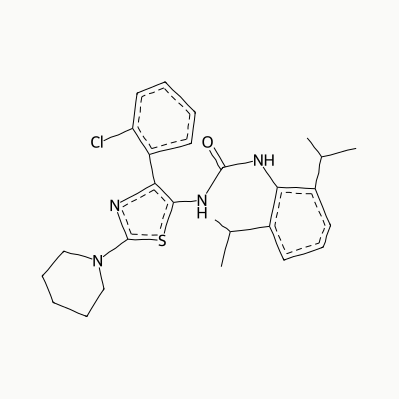 CC(C)c1cccc(C(C)C)c1NC(=O)Nc1sc(N2CCCCC2)nc1-c1ccccc1Cl